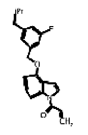 C=CC(=O)n1ccc2c(OCc3cc(F)cc(CC(C)C)c3)cccc21